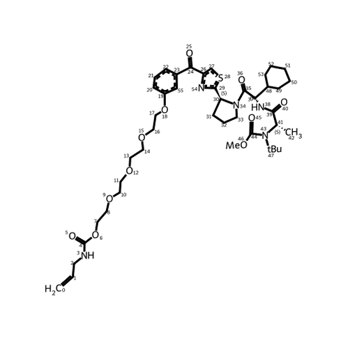 C=CCNC(=O)OCCOCCOCCOCCOc1cccc(C(=O)c2csc([C@@H]3CCCN3C(=O)[C@@H](NC(=O)[C@H](C)N(C(=O)OC)C(C)(C)C)C3CCCCC3)n2)c1